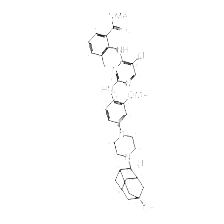 CNC(=O)c1cccc(C)c1Nc1nc(Nc2ccc(N3CCN([C@H]4C5CC6CC4C[C@@](O)(C6)C5)CC3)cc2OC)ncc1Cl